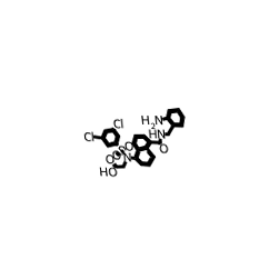 Nc1ccccc1CNC(=O)c1cccc2c(N(CC(=O)O)S(=O)(=O)c3cc(Cl)cc(Cl)c3)cccc12